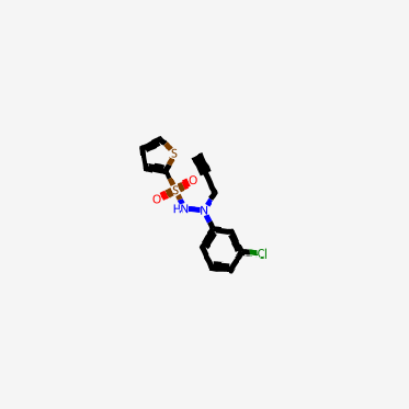 C#CCN(NS(=O)(=O)c1cccs1)c1cccc(Cl)c1